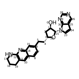 O[C@@H]1C[C@@H](CCc2ccc3cc4c(nc3c2)NCCC4)O[C@H]1n1ccc2cncnc21